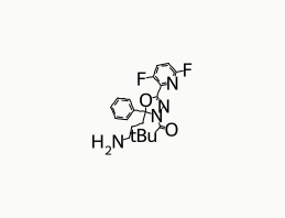 CC(C)(C)C(=O)N1N=C(c2nc(F)ccc2F)OC1(CCCN)c1ccccc1